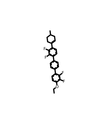 CCOc1ccc(-c2ccc(-c3ccc(C4=CCC(C)CC4)c(F)c3F)cc2)c(F)c1F